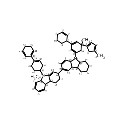 CC1=CC=C(C2(C)C=C(C3C=CCCC3)C=C(N3C4C=CC(C5C=C6C(CC5)C5C=CC=C[C@@]5(C)N6C5CC=C(C6=CCCC=C6)CC5)=CC4C4CCCCC43)C2)C1